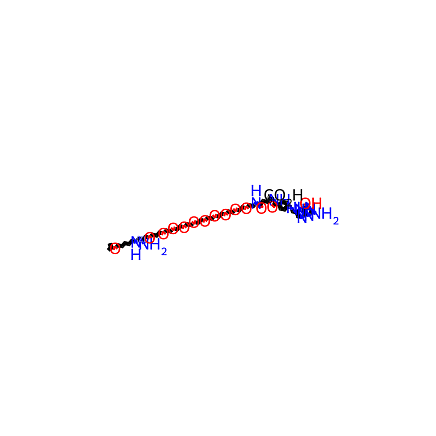 C=C(C)OCCCCCN/C=C(\N)COCCCOCCOCCOCCOCCOCCOCCOCCOCCOCCNC(=O)CC[C@H](NC(=O)c1ccc(NCc2cnc3nc(N)nc(O)c3n2)cc1)C(=O)O